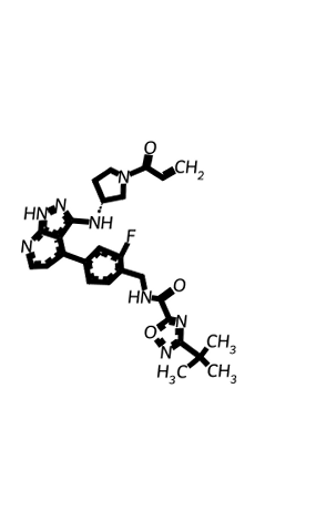 C=CC(=O)N1CC[C@@H](Nc2n[nH]c3nccc(-c4ccc(CNC(=O)c5nc(C(C)(C)C)no5)c(F)c4)c23)C1